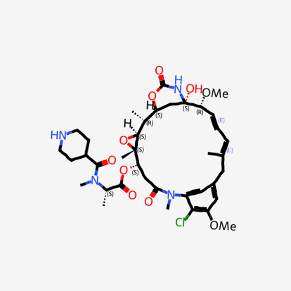 COc1cc2cc(c1Cl)N(C)C(=O)C[C@H](OC(=O)[C@H](C)N(C)C(=O)C1CCNCC1)[C@]1(C)O[C@H]1[C@H](C)[C@@H]1C[C@@](O)(NC(=O)O1)[C@H](OC)/C=C/C=C(\C)C2